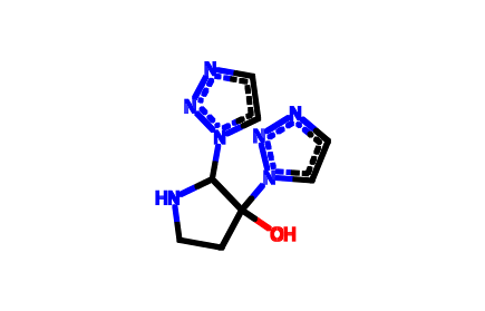 OC1(n2ccnn2)CCNC1n1ccnn1